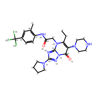 CCc1c(N2CCNCC2)c(=O)n2nc(N3CCCC3)nc2n1CC(=O)Nc1ccc(C(F)(F)F)cc1C